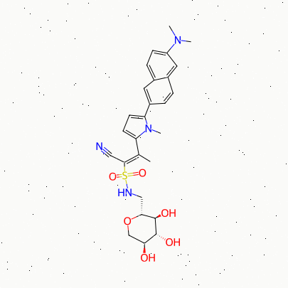 C/C(=C(/C#N)S(=O)(=O)NC[C@H]1OC[C@H](O)[C@@H](O)[C@@H]1O)c1ccc(-c2ccc3cc(N(C)C)ccc3c2)n1C